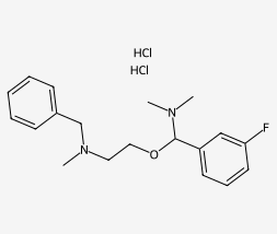 CN(CCOC(c1cccc(F)c1)N(C)C)Cc1ccccc1.Cl.Cl